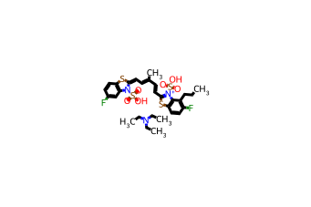 CCCc1c(F)ccc2sc(C=CC(C)=CC=C3Sc4ccc(F)cc4N3S(=O)(=O)O)[n+](S(=O)(=O)O)c12.CCN(CC)CC